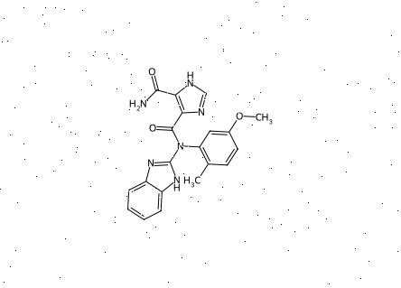 COc1ccc(C)c(N(C(=O)c2nc[nH]c2C(N)=O)c2nc3ccccc3[nH]2)c1